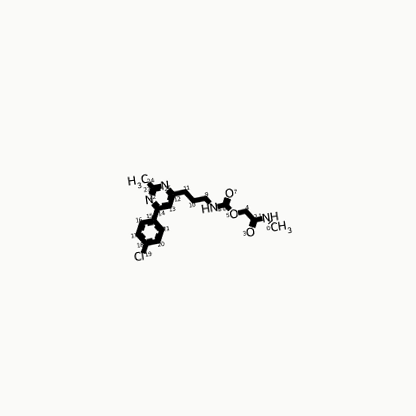 CNC(=O)COC(=O)NCCCc1cc(-c2ccc(Cl)cc2)nc(C)n1